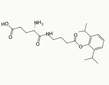 CC(C)c1cccc(C(C)C)c1OC(=O)CCCNC(=O)[C@@H](N)CCC(=O)O